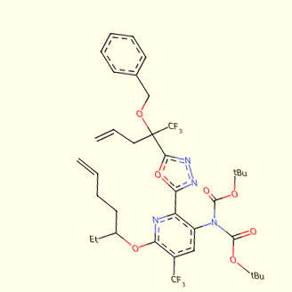 C=CCCC(CC)Oc1nc(-c2nnc(C(CC=C)(OCc3ccccc3)C(F)(F)F)o2)c(N(C(=O)OC(C)(C)C)C(=O)OC(C)(C)C)cc1C(F)(F)F